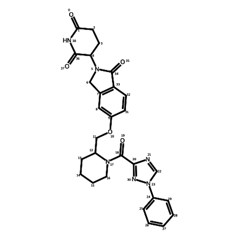 O=C1CCC(N2Cc3cc(OCC4CCCCN4C(=O)c4ncn(-c5ccccc5)n4)ccc3C2=O)C(=O)N1